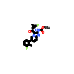 Cc1c(F)cccc1-c1ccc2nc(NC(=O)OC(C)(C)C)c(C(=O)[C@@H]3C[C@@H]3F)n2c1